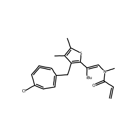 C=CC(=O)N(C)/C=C(/c1sc(C)c(C)c1CC1=CC=C(Cl)C=C=C1)C(C)CC